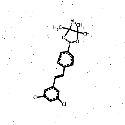 CC1(C)OB(c2ccc(C=Cc3cc(Cl)cc(Cl)c3)cc2)OC1(C)C